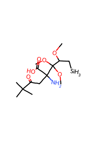 COC(C[SiH3])C(OC)(OC)C(N)(CC(=O)C(C)(C)C)C(=O)O